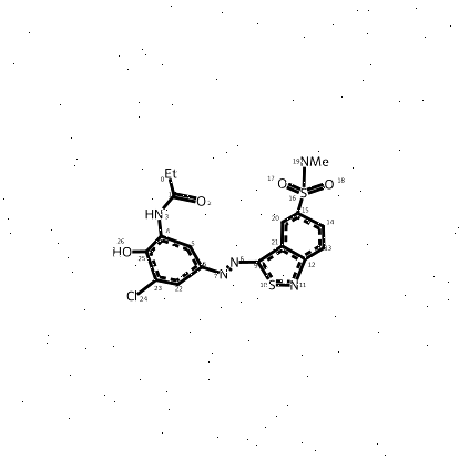 CCC(=O)Nc1cc(/N=N/c2snc3ccc(S(=O)(=O)NC)cc23)cc(Cl)c1O